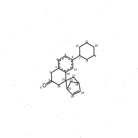 O=C1Cc2ccc(C3CCCCC3)cc2C2(C1)CC1C=CC2C1